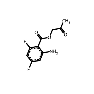 CC(=O)COC(=O)c1c(N)cc(F)cc1F